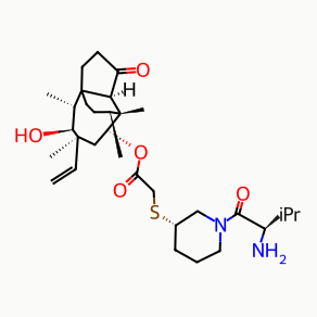 C=C[C@]1(C)C[C@@H](OC(=O)CS[C@H]2CCCN(C(=O)[C@H](N)C(C)C)C2)[C@]2(C)[C@H](C)CCC3(CCC(=O)[C@H]32)[C@@H](C)[C@@H]1O